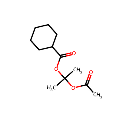 CC(=O)OC(C)(C)OC(=O)C1CCCCC1